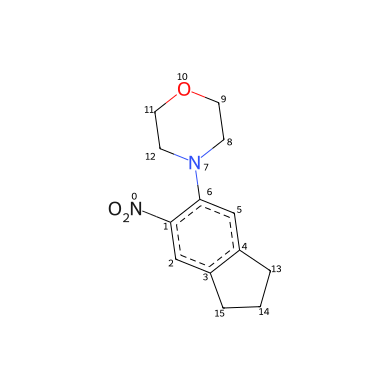 O=[N+]([O-])c1cc2c(cc1N1CCOCC1)CCC2